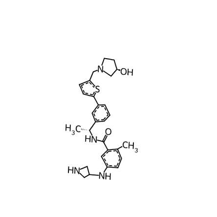 Cc1ccc(NC2CNC2)cc1C(=O)N[C@H](C)c1cccc(-c2ccc(CN3CC[C@@H](O)C3)s2)c1